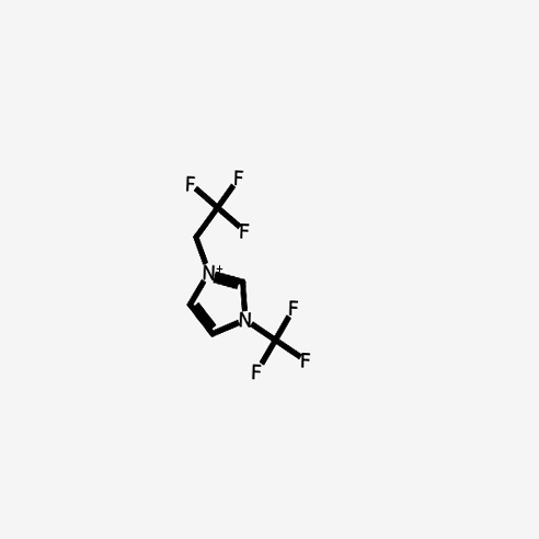 FC(F)(F)C[n+]1ccn(C(F)(F)F)c1